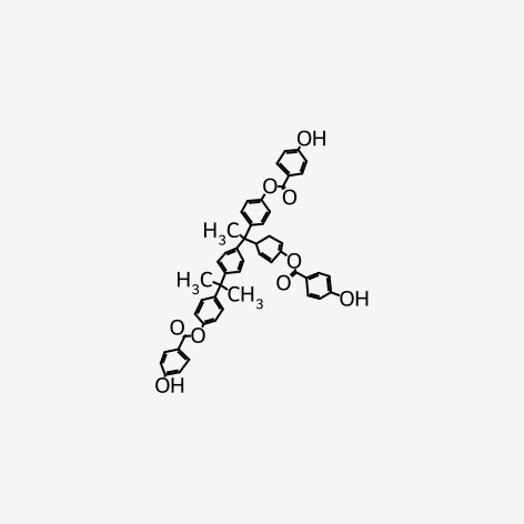 CC(C)(c1ccc(OC(=O)c2ccc(O)cc2)cc1)c1ccc(C(C)(c2ccc(OC(=O)c3ccc(O)cc3)cc2)C2C=CC(OC(=O)c3ccc(O)cc3)=CC2)cc1